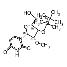 CO[C@H]1C(O[Si](C)(C)C(C)(C)C)[C@@H]([C@@H](C)O)O[C@H]1n1ccc(=O)[nH]c1=O